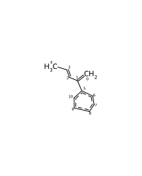 C=C(/C=C/C)c1ccccc1